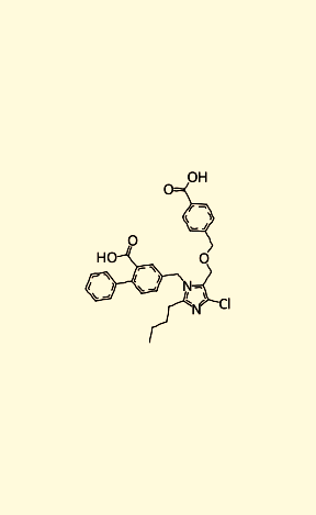 CCCCc1nc(Cl)c(COCc2ccc(C(=O)O)cc2)n1Cc1ccc(-c2ccccc2)c(C(=O)O)c1